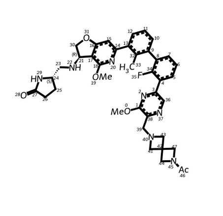 COc1nc(-c2cccc(-c3cccc(-c4cc5c(c(OC)n4)[C@@H](NC[C@@H]4CCC(=O)N4)CO5)c3C)c2F)cnc1CN1CC2(C1)CN(C(C)=O)C2